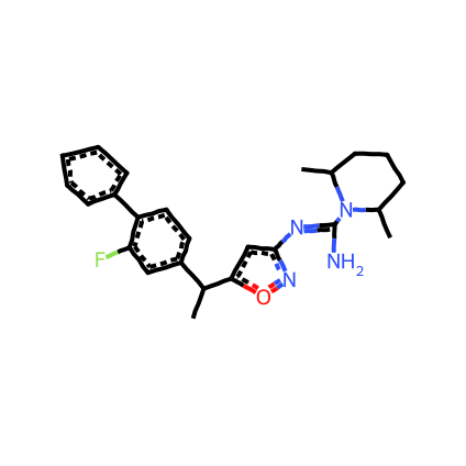 CC(c1ccc(-c2ccccc2)c(F)c1)c1cc(/N=C(\N)N2C(C)CCCC2C)no1